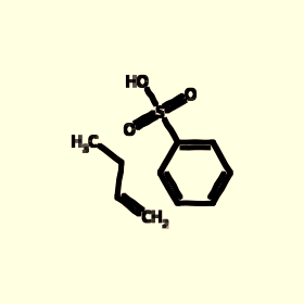 C=CCC.O=S(=O)(O)c1ccccc1